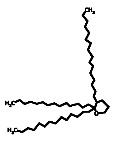 CCCCCCCCCCCCCCCCC1CCCOC1(CCCCCCCCCCCCCC)CCCCCCCCCCCCCC